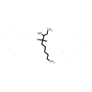 [CH2]CC(O)C(F)(F)CCCCCC